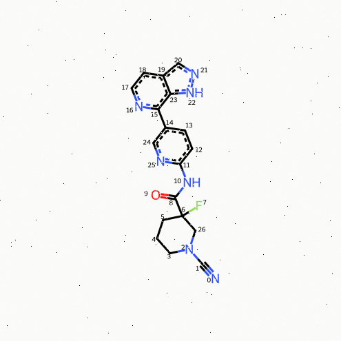 N#CN1CCCC(F)(C(=O)Nc2ccc(-c3nccc4cn[nH]c34)cn2)C1